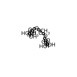 CC(C)(c1ccc(Oc2ccc3c(c2)C(=O)N(c2nc(O)nc(O)n2)C3=O)cc1)c1ccc(Oc2ccc3c(c2)C(=O)N(c2nc(O)nc(O)n2)C3=O)cc1